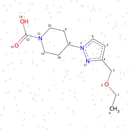 CCOCc1ccn(C2CCN(C(=O)O)CC2)n1